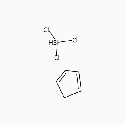 C1=CCC=C1.Cl[SiH](Cl)Cl